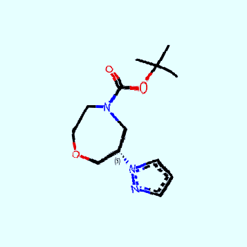 CC(C)(C)OC(=O)N1CCOC[C@@H](n2cccn2)C1